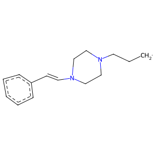 [CH2]CCN1CCN(C=Cc2ccccc2)CC1